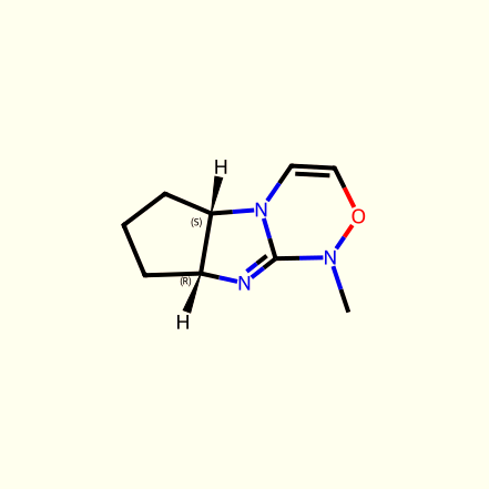 CN1OC=CN2C1=N[C@@H]1CCC[C@@H]12